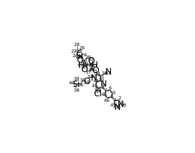 Cn1cc(-c2ccc(-c3nc4c(C#N)c(O[C@@H]5CO[C@@H]6C(O[Si](C)(C)C(C)(C)C)CO[C@@H]65)n(COCC[Si](C)(C)C)c4cc3Cl)cc2)cn1